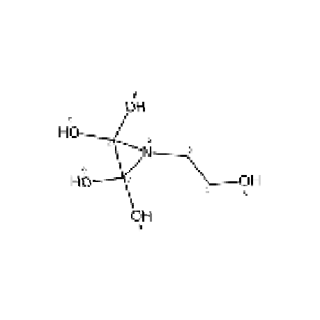 OCCN1C(O)(O)C1(O)O